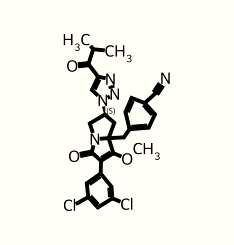 COC1=C(c2cc(Cl)cc(Cl)c2)C(=O)N2C[C@@H](n3cc(C(=O)C(C)C)nn3)CC12Cc1ccc(C#N)cc1